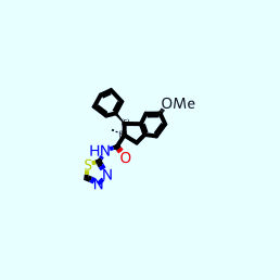 COc1ccc2c(c1)[C@H](c1ccccc1)[C@](C)(C(=O)Nc1nncs1)C2